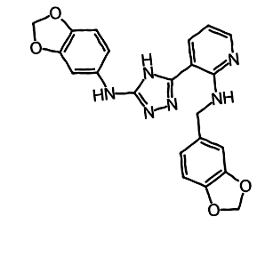 c1cnc(NCc2ccc3c(c2)OCO3)c(-c2nnc(Nc3ccc4c(c3)OCO4)[nH]2)c1